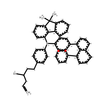 C=CCC(CC)CCc1ccc(N(c2ccc(-c3cccc4cccc(-c5ccccc5)c34)cc2)c2cccc3c2-c2ccccc2C3(C)C)cc1